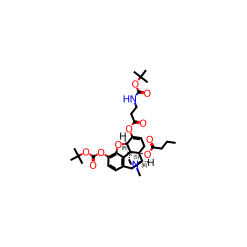 CCCC(=O)O[C@@]12CC=C(OC(=O)CCNC(=O)OC(C)(C)C)[C@@H]3Oc4c(OC(=O)OC(C)(C)C)ccc5c4[C@@]31CCN(C)[C@@H]2C5